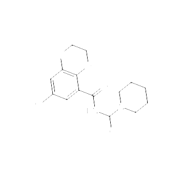 CC(NC(=O)c1cc(Cl)cc2c1OCCO2)N1CCCCC1